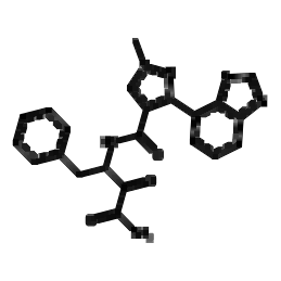 Cn1cc(C(=O)NC(Cc2ccccc2)C(=O)C(N)=O)c(-c2cccc3ncsc23)n1